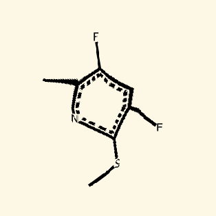 CSc1nc(C)c(F)cc1F